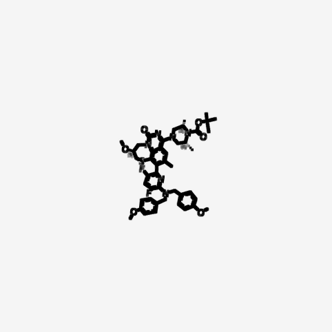 COc1ccc(CN(Cc2ccc(OC)cc2)c2nc(-c3c(C)cc4c(N5C[C@@H](C)N(C(=O)OC(C)(C)C)[C@@H](C)C5)nc(=O)n5c4c3SC[C@@H](OC)C5)c(F)cc2F)cc1